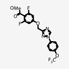 COC(=O)c1c(F)cc(OCc2ncn(-c3ccc(OC(F)(F)F)cc3)n2)cc1F